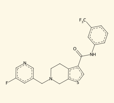 O=C(Nc1cccc(C(F)(F)F)c1)c1csc2c1CCN(Cc1cncc(F)c1)C2